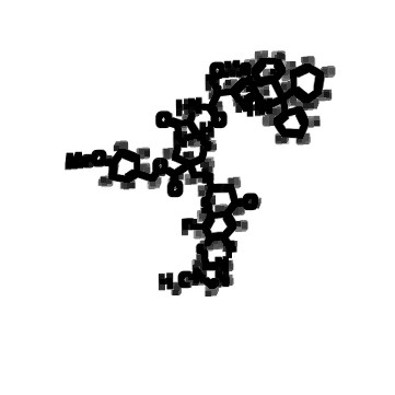 CON=C(C(=O)NC1C(=O)N2CC(CSc3cc(=O)c4cc(F)c(Sc5nncn5C)c(F)c4s3)(C(=O)OCc3ccc(OC)cc3)CS[C@H]12)c1csc(NC(c2ccccc2)(c2ccccc2)c2ccccc2)n1